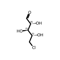 O=C[C@H](O)[C@H](O)[C@H](O)CCl